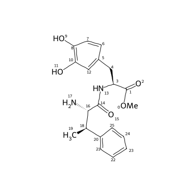 COC(=O)[C@H](Cc1ccc(O)c(O)c1)NC(=O)[C@@H](N)[C@H](C)c1ccccc1